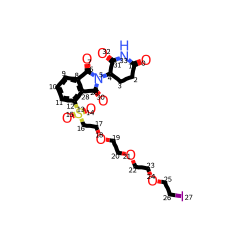 O=C1CCC(N2C(=O)c3cccc(S(=O)(=O)CCOCCOCCOCCI)c3C2=O)C(=O)N1